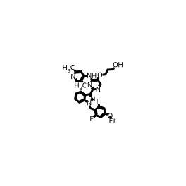 CCOc1cc(F)c(Cn2nc(-c3ncc(OCCCO)c(Nc4cc(C)ncc4C)n3)c3ccccc32)c(F)c1